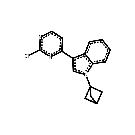 Clc1nccc(-c2cn(C34CC(C3)C4)c3ccccc23)n1